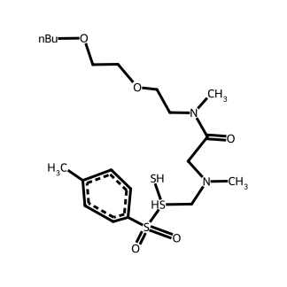 CCCCOCCOCCN(C)C(=O)CN(C)C[SH](S)S(=O)(=O)c1ccc(C)cc1